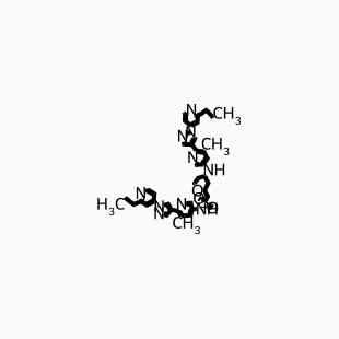 CCCc1cc(-n2cc(-c3ncc(NC4CCOC(CS(=O)(=O)Nc5cnc(-c6cnn(-c7ccnc(CCC)c7)c6)c(C)c5)C4)cc3C)cn2)ccn1